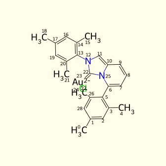 Cc1cc(C)c(-c2cccc3cn(-c4c(C)cc(C)cc4C)[c](=[Au-2][Cl])n23)c(C)c1